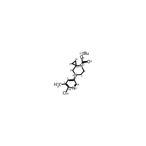 Cc1cc(N2CCN(C(=O)OC(C)(C)C)C3(CC3)C2)cnc1Cl